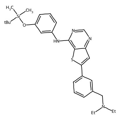 CCN(CC)Cc1cccc(-c2cc3ncnc(Nc4cccc(O[Si](C)(C)C(C)(C)C)c4)c3s2)c1